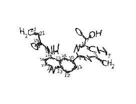 C=C/N=C(\N=C(/C)C(=O)O)c1ccc2nccc(NC(=O)C=C)c2c1